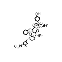 CC(C)CN(C[C@H](O)[C@H](Cc1ccccc1)NC(=O)[C@H](C(C)C)N1CCN(Cc2csc([N+](=O)[O-])c2)C1=O)S(=O)(=O)c1ccc(O)cc1